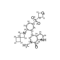 Cn1cc(-c2cc(S(=O)(=O)C3COC3)ccc2N2CC3(CCC3)C2)c2cc[nH]c2c1=O